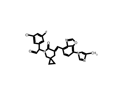 Cc1cn(-c2ccc(/C=C3\CC4(CC4)CN(C(C=O)c4cc(F)cc(Cl)c4)C3=O)c3ncoc23)cn1